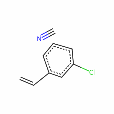 C#N.C=Cc1cccc(Cl)c1